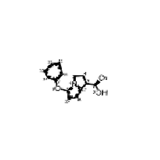 O=C(O)C1CCn2c(Oc3ccccc3)ccc21